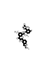 Cc1cc([C@@H](C)Nc2ccc(F)c(F)c2-c2noc(=O)[nH]2)c2oc(-c3ccc4nn(C)cc4c3)c(C)c(=O)c2c1